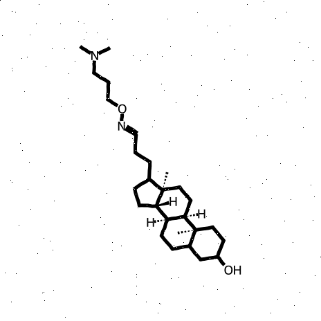 CN(C)CCCON=CCCC1CC[C@H]2[C@@H]3CCC4CC(O)CC[C@]4(C)[C@@H]3CC[C@]12C